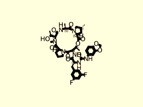 C[C@@H]1C[C@H]2C(=O)O[C@@H](C)[C@H](NC(=O)[C@H](Cc3cc(F)cc(F)c3)NC(=O)Nc3ccc4c(c3)OCO4)C(=O)N3CCC[C@H]3C(=O)N(C)[C@@H]([C@H](C)O)C(=O)N[C@@H](C)C(=O)N2C1